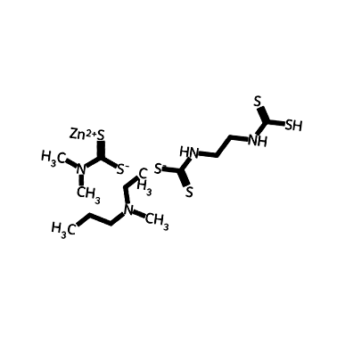 CCCN(C)CC.CN(C)C(=S)[S-].S=C([S-])NCCNC(=S)S.[Zn+2]